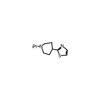 CC(C)N1CCC(c2nccs2)CC1